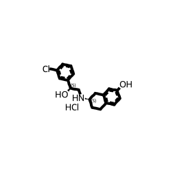 Cl.Oc1ccc2c(c1)C[C@@H](NC[C@@H](O)c1cccc(Cl)c1)CC2